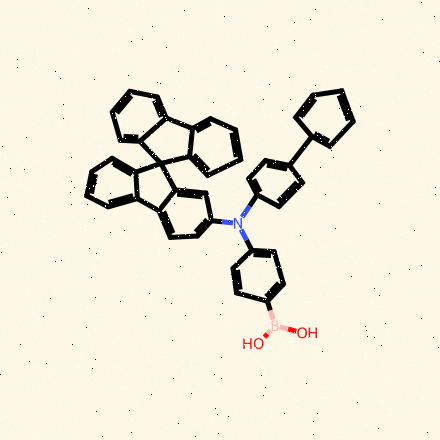 OB(O)c1ccc(N(c2ccc(-c3ccccc3)cc2)c2ccc3c(c2)C2(c4ccccc4-c4ccccc42)c2ccccc2-3)cc1